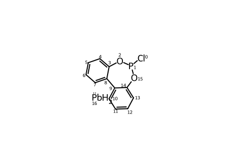 Clp1oc2ccccc2c2ccccc2o1.[PbH2]